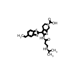 C=Cc1ccc2sc(-c3c(NC(=O)CCNC(C)C)sc4c3CCN(C(=O)O)C4)nc2c1